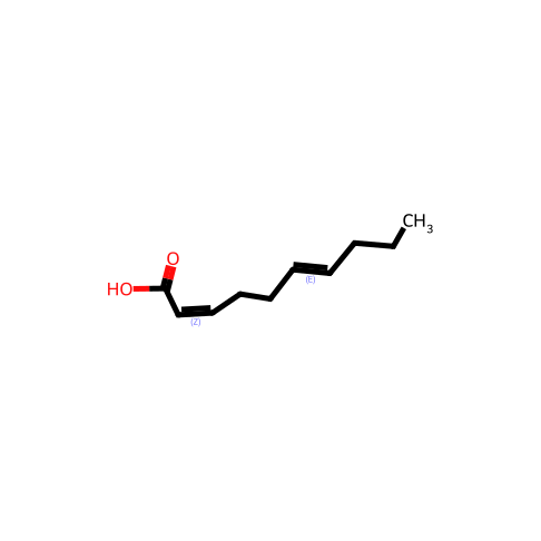 CCC/C=C/CC/C=C\C(=O)O